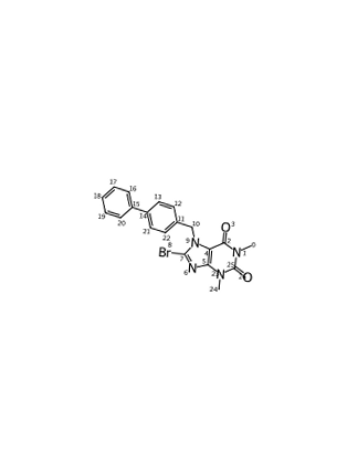 Cn1c(=O)c2c(nc(Br)n2Cc2ccc(-c3ccccc3)cc2)n(C)c1=O